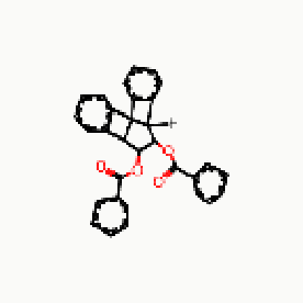 O=C(OC1C(OC(=O)c2ccccc2)[C@H]2c3ccccc3[C@@]23c2ccccc2C13)c1ccccc1